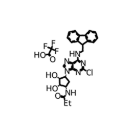 CCC(=O)N[C@H]1C[C@@H](n2cnc3c(NCC4c5ccccc5-c5ccccc54)nc(Cl)nc32)[C@H](O)[C@@H]1O.O=C(O)C(F)(F)F